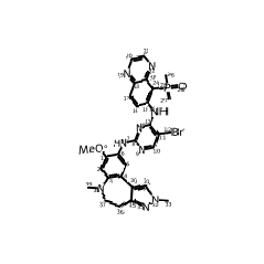 COc1cc2c(cc1Nc1ncc(Br)c(Nc3ccc4nccnc4c3P(C)(C)=O)n1)-c1cn(C)nc1CCN2C